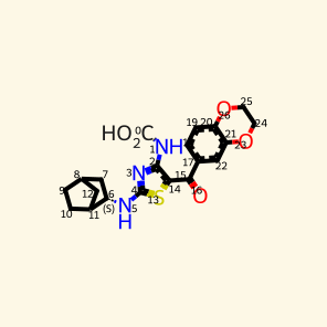 O=C(O)Nc1nc(N[C@H]2CC3CCC2C3)sc1C(=O)c1ccc2c(c1)OCCO2